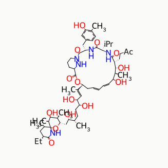 CC[C@H]1C[C@H](C)[C@@]2(NC1=O)O[C@@H](C[C@H](O)[C@@H](C)CCC(O)C(O)/C=C(\C)[C@@H]1C/C=C/C=C/[C@H](O)[C@H](C)[C@@H](O)[C@@H](CCC(C)=O)C(=O)N[C@@H](C(C)C)C(=O)N[C@@H](Cc3ccc(C)c(O)c3)C(=O)N3CCCC(N3)C(=O)O1)[C@H](C)[C@H](O)[C@@H]2C